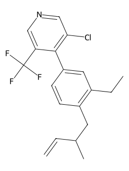 C=CC(C)Cc1ccc(-c2c(Cl)cncc2C(F)(F)F)cc1CC